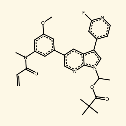 C=CC(=O)N(C)c1cc(OC)cc(-c2cnc3c(c2)c(-c2ccnc(F)c2)cn3C(C)OC(=O)C(C)(C)C)c1